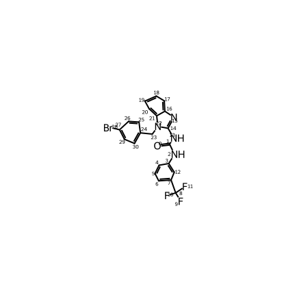 O=C(Nc1cccc(C(F)(F)F)c1)Nc1nc2ccccc2n1Cc1ccc(Br)cc1